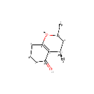 CCC1C[C@@H](CC)C2=C(CCCC2=O)O1